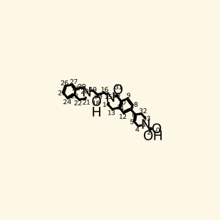 O=C(O)N1CC=C(c2ccc3c(c2)CCN(C[C@H](O)CN2CCc4ccccc4C2)C3=O)CC1